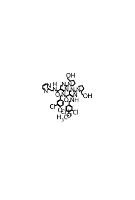 COc1ccc(CNc2nc(N3CCCC3CO)ncc2C(=O)N(Cc2ccc(OC)c(Cl)c2)c2nc(N3CCCC3CO)ncc2C(=O)NCc2ncccn2)cc1Cl